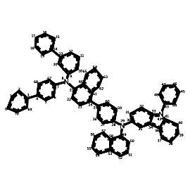 c1ccc(-c2ccc(N(c3cccc(-c4ccccc4)c3)c3ccc(-c4ccc(N(c5ccc6c(c5)c5ccccc5n6-c5ccccc5)c5cccc6ccccc56)cc4)c4ccccc34)cc2)cc1